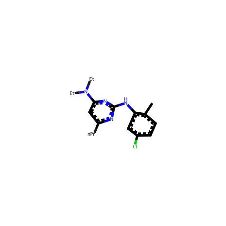 CCCc1cc(N(CC)CC)nc(Nc2cc(Cl)ccc2C)n1